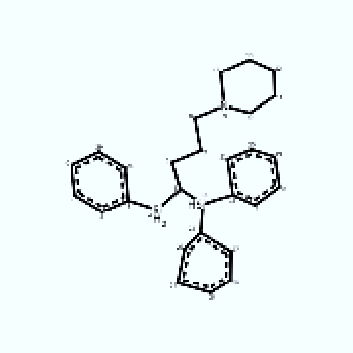 c1ccc([SiH2]C(CCCN2CCCCC2)[SiH](c2ccccc2)c2ccccc2)cc1